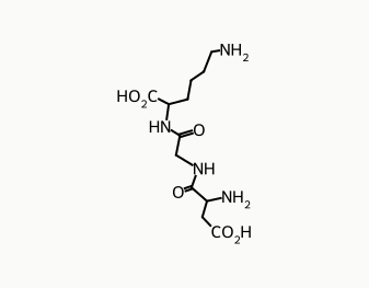 NCCCCC(NC(=O)CNC(=O)C(N)CC(=O)O)C(=O)O